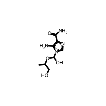 CC(CO)OC(O)n1cnc(C(N)=O)c1N